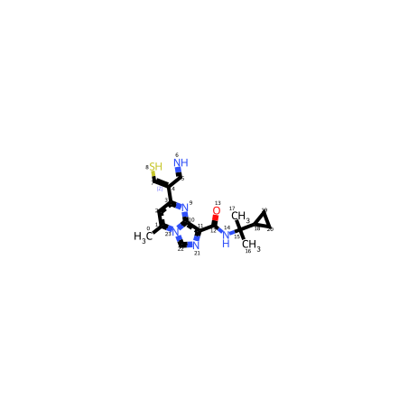 Cc1cc(/C(C=N)=C/S)nc2c(C(=O)NC(C)(C)C3CC3)ncn12